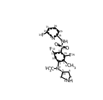 Cc1c(N(C)[C@H]2CCNC2)cc(F)c(S(=O)(=O)Nc2cccc(F)n2)c1F